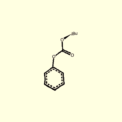 CC[C@H](C)OC(=O)Oc1ccccc1